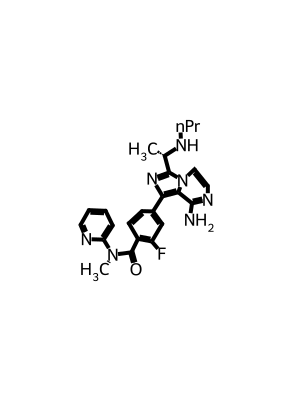 CCCN[C@@H](C)c1nc(-c2ccc(C(=O)N(C)c3ccccn3)c(F)c2)c2c(N)nccn12